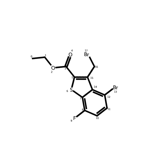 CCOC(=O)c1sc2c(F)ccc(Br)c2c1CBr